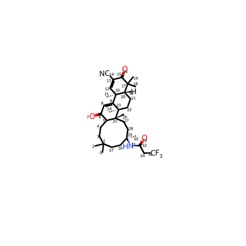 CC1(C)CCC2C(=O)C=C3[C@@]4(C)C=C(C#N)C(=O)C(C)(C)[C@@H]4CC[C@@]3(C)[C@]2(C)CC[C@@](C)(NC(=O)CC(F)(F)F)CC1